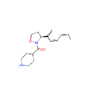 C=C(/C=C\C=C/C)[C@@H]1CCON1C(=O)C1CCNCC1